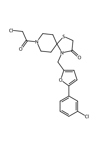 O=C(CCl)N1CCC2(CC1)SCC(=O)N2Cc1ccc(-c2cccc(Cl)c2)o1